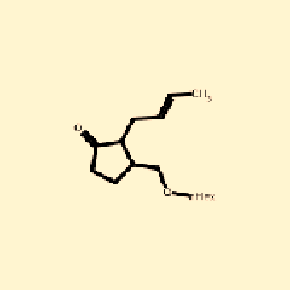 CC=CCC1C(=O)CCC1COCCCCCC